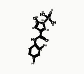 O=C(Nc1ccc(F)cc1F)c1cc(Cl)n(P(=O)(O)O)n1